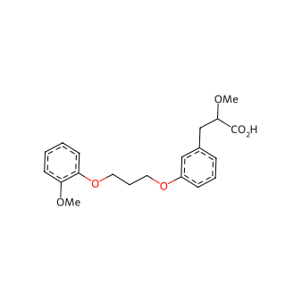 COc1ccccc1OCCCOc1cccc(CC(OC)C(=O)O)c1